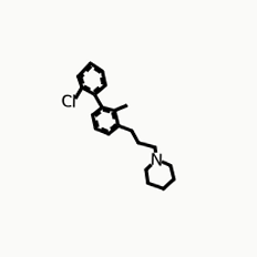 Cc1c(CCCN2CCCCC2)cccc1-c1ccccc1Cl